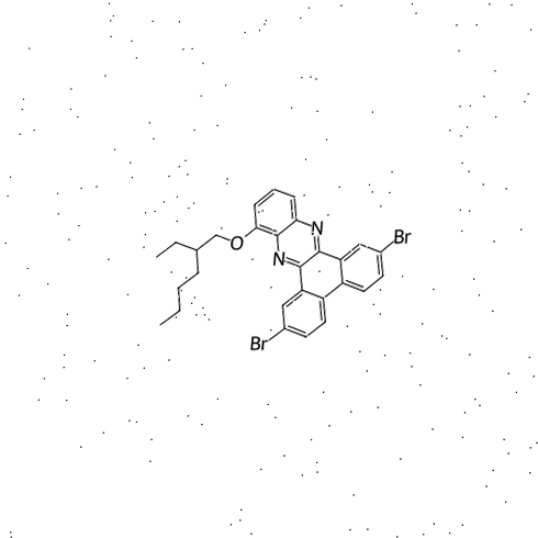 CCCCC(CC)COc1cccc2nc3c4cc(Br)ccc4c4ccc(Br)cc4c3nc12